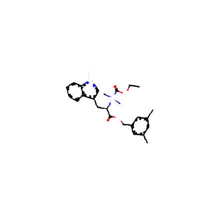 CCOC(=O)[N+](C)(C)C(Cc1c[nH]c2ccccc12)C(=O)OCc1cc(C)cc(C)c1